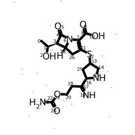 CC(O)[C@H]1C(=O)N2C(C(=O)O)=C(SC3CNC(C(=N)CCOC(N)=O)C3)C[C@H]12